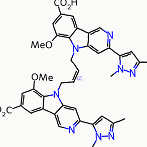 COc1cc(C(=O)O)cc2c3cnc(-c4cc(C)nn4C)cc3n(C/C=C\Cn3c4cc(-c5cc(C)nn5C)ncc4c4cc(C(=O)O)cc(OC)c43)c12